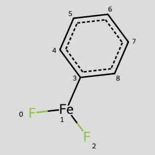 [F][Fe]([F])[c]1ccccc1